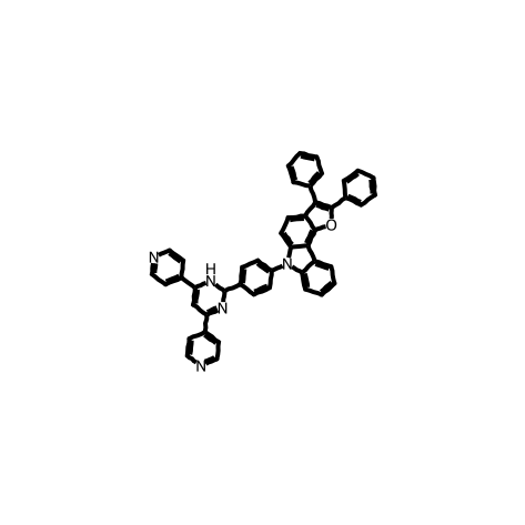 C1=C(c2ccncc2)NC(c2ccc(-n3c4ccccc4c4c5oc(-c6ccccc6)c(-c6ccccc6)c5ccc43)cc2)N=C1c1ccncc1